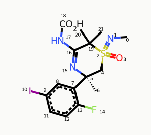 CN=[S@@]1(=O)C[C@@](C)(c2cc(I)ccc2F)N=C(NC(=O)O)C1(C)C